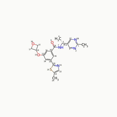 Cc1ncc([C@@H](C)NC(=O)c2cc(OC3COC3)cc(-c3ncc(C)s3)c2)cn1